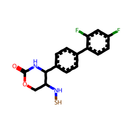 O=C1NC(c2ccc(-c3ccc(F)cc3F)cc2)C(NS)CO1